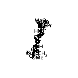 CCC(C)[C@H](NC(=O)OC)C(=O)N1C[C@@H](C)CC1c1ncc(-c2ccc3c(c2)COc2cc4c(ccc5nc([C@@H]6C[C@H](COC)CN6C(=O)[C@@H](NC(=O)OC)C(C)C)[nH]c54)cc2-3)[nH]1